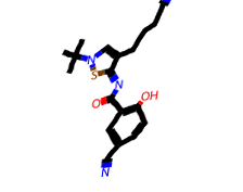 CC(C)(C)n1cc(CCCC#N)/c(=N/C(=O)c2cc(C#N)ccc2O)s1